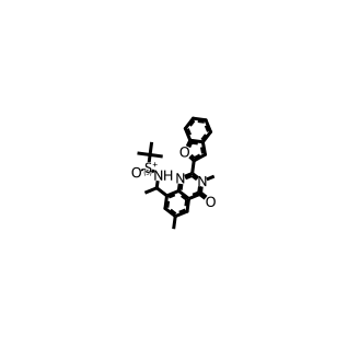 Cc1cc(C(C)N[S@+]([O-])C(C)(C)C)c2nc(-c3cc4ccccc4o3)n(C)c(=O)c2c1